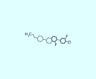 CCCC1CCC(C2CCc3c(ccc(-c4ccc(Cl)c(F)c4)c3F)C2)CC1